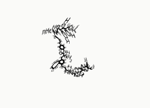 CCCCCCN(CCCc1ccc(NC(=O)[C@@H](N)Cc2ccc(CCCCNC(=N)NC(=O)c3nc(Cl)c(C)nc3N)c3c2CCCC3)cc1)C[C@H](O)[C@@H](O)[C@H](O)[C@H](O)CO